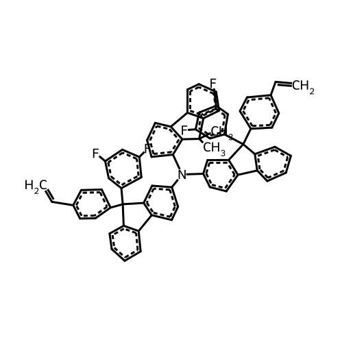 C=Cc1ccc(C2(c3cc(F)cc(F)c3)c3ccccc3-c3ccc(N(c4ccc5c(c4)C(c4ccc(C=C)cc4)(c4cc(F)cc(F)c4)c4ccccc4-5)c4cccc5c4C(C)(C)c4ccccc4-5)cc32)cc1